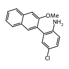 COc1cc2ccccc2cc1-c1cc(Cl)ccc1N